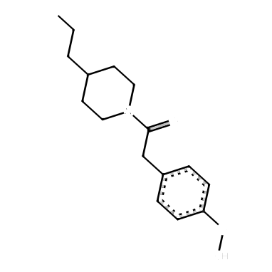 CCCC1CCN(C(=O)Cc2ccc(OC)cc2)CC1